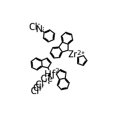 C1=CC[C]([Zr+2][CH]2c3ccccc3-c3ccccc32)=C1.[CH3][Ge]([CH3])=[Hf+2]([CH]1C=Cc2ccccc21)[CH]1C=Cc2ccccc21.[Cl-].[Cl-].[Cl-].[Cl-].[N]c1ccccc1